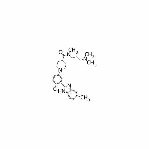 Cc1ccc2[nH]c(-c3cc(N4CCC(C(=O)N(C)CCCN(C)C)CC4)ccc3Cl)nc2c1